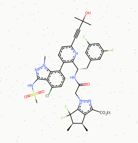 CCOC(=O)c1nn(CC(=O)N[C@@H](Cc2cc(F)cc(F)c2)c2nc(C#CC(C)(C)O)ccc2-c2ccc(Cl)c3c(NS(C)(=O)=O)nn(C)c23)c2c1[C@@H](C)[C@@H](C)C2(F)F